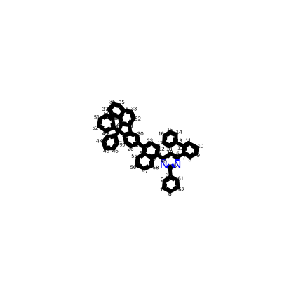 c1ccc(-c2nc(-c3ccccc3-c3ccccc3)cc(-c3ccc(-c4ccc5c(c4)-c4ccc6ccccc6c4C5(c4ccccc4)c4ccccc4)c4ccccc34)n2)cc1